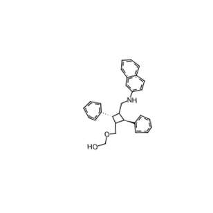 OCOCC1[C@H](c2ccccc2)C(CNc2ccc3ccccc3c2)[C@H]1c1ccccc1